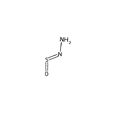 NN=S=O